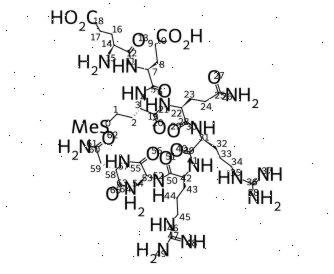 CSCC[C@H](NC(=O)[C@H](CCC(=O)O)NC(=O)[C@@H](N)CCC(=O)O)C(=O)N[C@@H](CCC(N)=O)C(=O)N[C@@H](CCCNC(=N)N)C(=O)N[C@@H](CCCNC(=N)N)C(=O)N[C@@H](C)C(=O)N[C@@H](CC(N)=O)C(N)=O